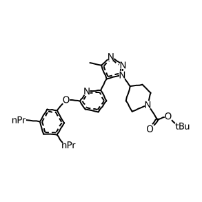 CCCc1cc(CCC)cc(Oc2cccc(-c3c(C)nnn3C3CCN(C(=O)OC(C)(C)C)CC3)n2)c1